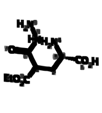 CCOC(=O)C(C[C@H](N)C(=O)O)C(=O)NN